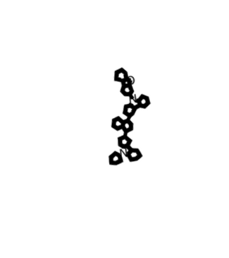 c1ccc(-n2c3ccccc3c3cc(-c4ccc(-c5ccc6c(c5)c5ccccc5n6-c5ccc6c(c5)oc5ccccc56)c5ccccc45)ccc32)cc1